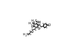 CNc1c(NCc2ccc(Cl)cc2)c(=O)n(CCOCCN)c(=O)n1C